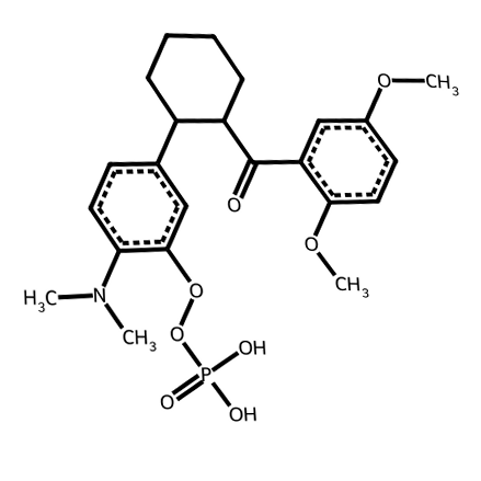 COc1ccc(OC)c(C(=O)C2CCCCC2c2ccc(N(C)C)c(OOP(=O)(O)O)c2)c1